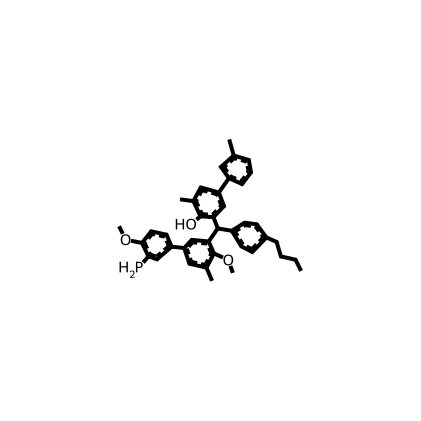 CCCCc1ccc(C(c2cc(-c3cccc(C)c3)cc(C)c2O)c2cc(-c3ccc(OC)c(P)c3)cc(C)c2OC)cc1